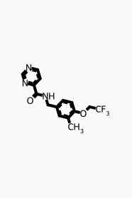 Cc1cc(CNC(=O)c2ccncn2)ccc1OCC(F)(F)F